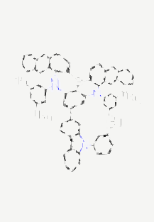 CC(C)(C)c1cc(N2c3cc(-c4ccc5c6ccccc6n(-c6ccccc6)c5c4)cc4c3B(c3ccc5cc6ccccc6cc5c32)c2ccc3cc5ccccc5cc3c2N4c2cc(C(C)(C)C)cc(C(C)(C)C)c2)cc(C(C)(C)C)c1